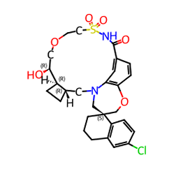 O=C1NS(=O)(=O)CCOC[C@H](O)[C@@H]2CC[C@H]2CN2C[C@@]3(CCCc4cc(Cl)ccc43)COc3ccc1cc32